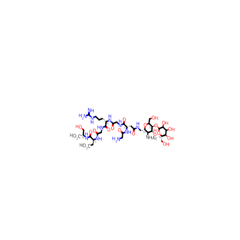 CC(=O)NC1[C@H](CNC(=O)C[C@H](NC(=O)CN)C(=O)NCC(=O)N[C@@H](CCCNC(=N)N)C(=O)NCC(=O)N[C@@H](CC(=O)O)C(=O)N[C@@H](CO)C(=O)O)OC(CO)[C@@H](O[C@@H]2O[C@@H](CO)[C@H](O)C(O)C2O)[C@@H]1O